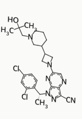 C[C@H](c1ccc(Cl)cc1Cl)n1nc(C#N)c2ncc(N3CC(C4CCCN(CC(C)(C)O)C4)C3)nc21